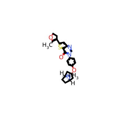 CC1=C(c2cc3ncn(-c4ccc(O[C@H]5C[C@H]6CC[C@@H](C5)N6C)cc4)c(=O)c3s2)CCO1